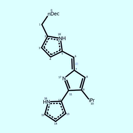 CCCCCCCCCCCc1ccc(/C=C2/C=C(C(C)C)C(c3ccc[nH]3)=N2)[nH]1